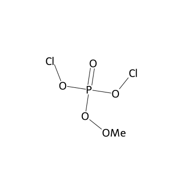 COOP(=O)(OCl)OCl